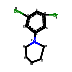 Brc1cc(Br)cc(N2CCCCC2)c1